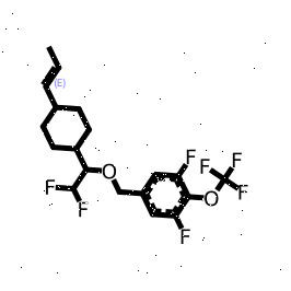 C/C=C/C1CCC(C(OCc2cc(F)c(OC(F)(F)F)c(F)c2)C(F)F)CC1